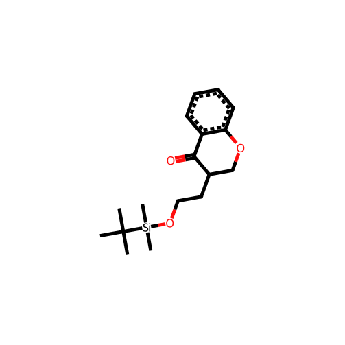 CC(C)(C)[Si](C)(C)OCCC1COc2ccccc2C1=O